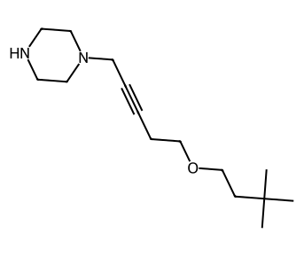 CC(C)(C)CCOCCC#CCN1CCNCC1